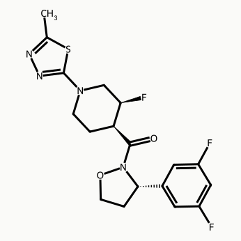 Cc1nnc(N2CC[C@H](C(=O)N3OCC[C@H]3c3cc(F)cc(F)c3)[C@H](F)C2)s1